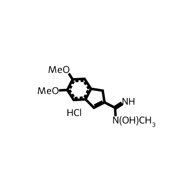 COc1cc2c(cc1OC)CC(C(=N)N(C)O)=C2.Cl